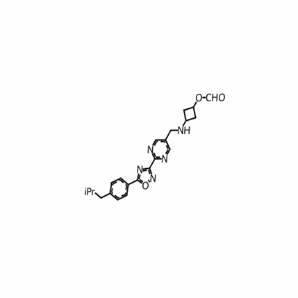 CC(C)Cc1ccc(-c2nc(-c3ncc(CNC4CC(OC=O)C4)cn3)no2)cc1